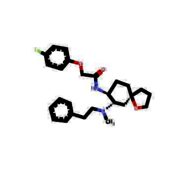 CN(CCc1ccccc1)[C@H]1C[C@@]2(CCCO2)CC[C@@H]1NC(=O)COc1ccc(F)cc1